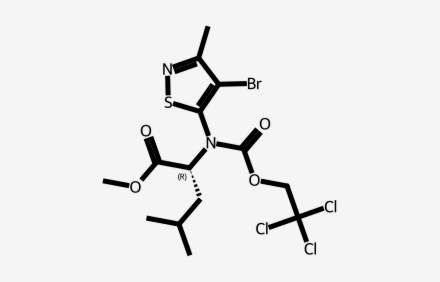 COC(=O)[C@@H](CC(C)C)N(C(=O)OCC(Cl)(Cl)Cl)c1snc(C)c1Br